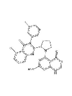 CSc1nc(N2CCCC2c2nc3cccc(Cl)c3c(=O)n2-c2cccc(C)c2)c2c(=O)nc[nH]c2n1